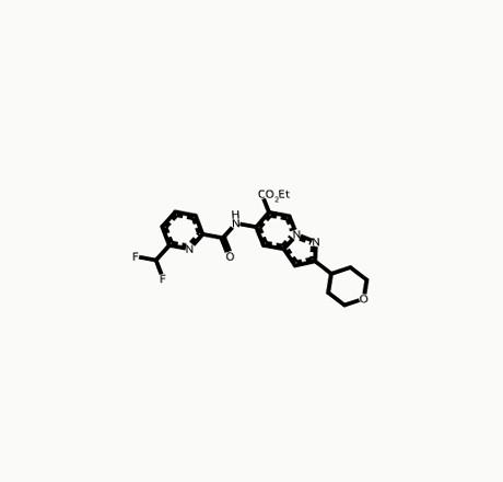 CCOC(=O)c1cn2nc(C3CCOCC3)cc2cc1NC(=O)c1cccc(C(F)F)n1